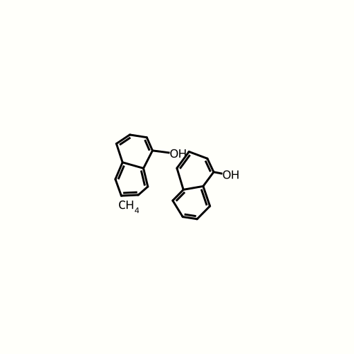 C.Oc1cccc2ccccc12.Oc1cccc2ccccc12